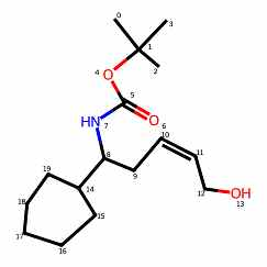 CC(C)(C)OC(=O)NC(C/C=C\CO)C1CCCCC1